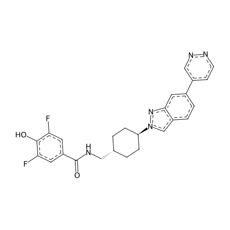 O=C(NC[C@H]1CC[C@H](n2cc3ccc(-c4ccnnc4)cc3n2)CC1)c1cc(F)c(O)c(F)c1